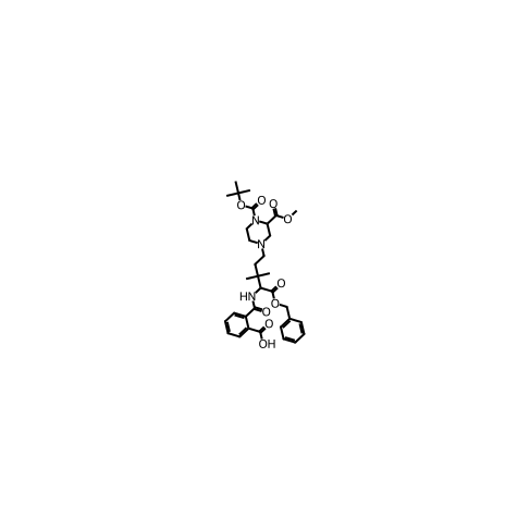 COC(=O)C1CN(CCC(C)(C)C(NC(=O)c2ccccc2C(=O)O)C(=O)OCc2ccccc2)CCN1C(=O)OC(C)(C)C